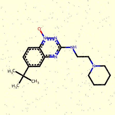 CC(C)(C)c1ccc2c(c1)nc(NCCN1CCCCC1)n[n+]2[O-]